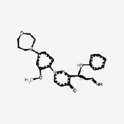 COc1cc(N2CCCOCC2)ccc1-n1ccc(=O)c(/C(=C/C=N)Nc2ccccc2)n1